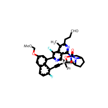 COCOc1cc(-c2ncc3c(N4CC5CCC(C4)N5C(=O)OC(C)(C)C)nc(CCC=O)c(C)c3c2F)c2c(C#C[Si](C(C)C)(C(C)C)C(C)C)c(F)ccc2c1